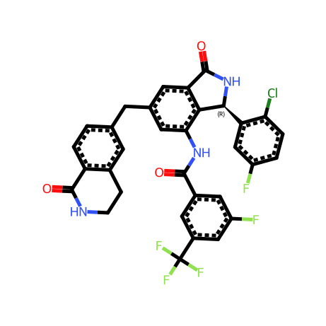 O=C(Nc1cc(Cc2ccc3c(c2)CCNC3=O)cc2c1[C@H](c1cc(F)ccc1Cl)NC2=O)c1cc(F)cc(C(F)(F)F)c1